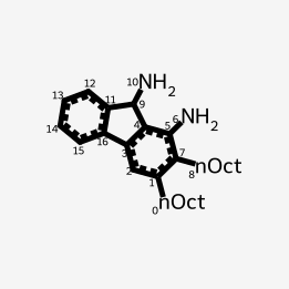 CCCCCCCCc1cc2c(c(N)c1CCCCCCCC)C(N)c1ccccc1-2